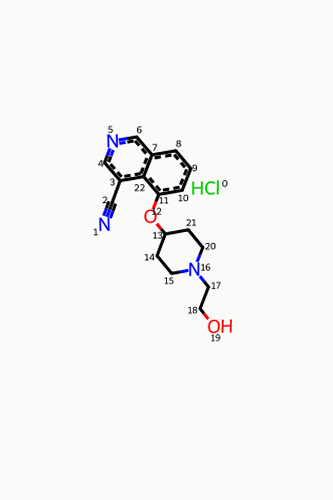 Cl.N#Cc1cncc2cccc(OC3CCN(CCO)CC3)c12